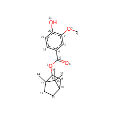 COc1cc(C(=O)OC2CC3CCC2(C)C3(C)C)ccc1O